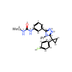 CONC(=O)Nc1cccc(-c2nnc(C3(c4ccc(F)cc4)CC3)n2C(C)C)c1